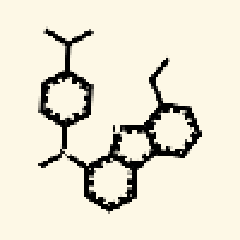 CCc1cccc2c1oc1c(N(C)c3ccc(C(C)C)cc3)cccc12